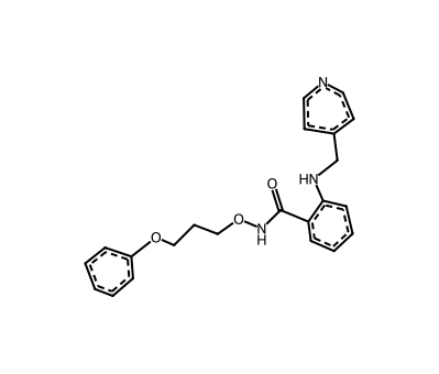 O=C(NOCCCOc1ccccc1)c1ccccc1NCc1ccncc1